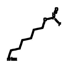 CCCCCCCCCCCCO[PH](=O)F